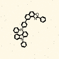 c1ccc(-c2nc3c(ccc4ccc(-c5ccc(N(c6ccccc6)c6cccc7c6c6ccccc6n7-c6ccccc6)cc5)cc43)o2)cc1